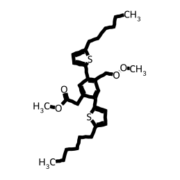 CCCCCCc1ccc(-c2cc(CC(=O)OC)c(-c3ccc(CCCCCC)s3)cc2COOC)s1